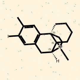 Cc1cc2c(cc1I)C[C@H]1[C@H]3CCCC[C@@]23CCN1C